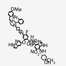 COc1ccc(CN2CCN(C3CC4(C3)CN(c3cc(Oc5cnc6[nH]ccc6c5)c(C(=O)NS(=O)(=O)c5cc([N+](=O)[O-])c(NC[C@H]6CC[C@](C)(O)CC6)c6[nH]cnc56)cc3F)C4)C(c3ccccc3C(C)C)C2)cc1